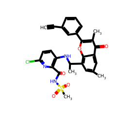 C#Cc1cccc(-c2oc3c(C(C)Nc4ccc(Cl)nc4C(=O)NS(C)(=O)=O)cc(C)cc3c(=O)c2C)c1